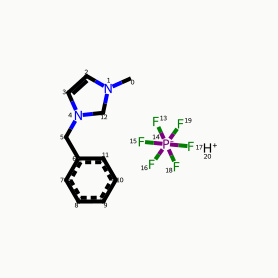 CN1C=CN(Cc2ccccc2)C1.F[P-](F)(F)(F)(F)F.[H+]